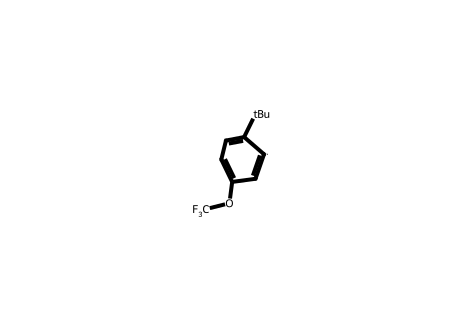 CC(C)(C)c1[c]cc(OC(F)(F)F)cc1